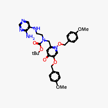 COc1ccc(COc2cn(OCc3ccc(OC)cc3)c(CN(CCNc3cncnc3N)C(=O)OC(C)(C)C)cc2=O)cc1